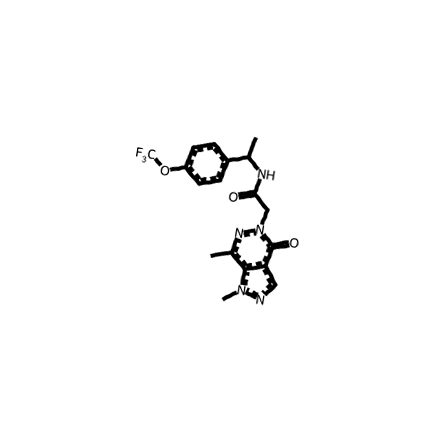 Cc1nn(CC(=O)NC(C)c2ccc(OC(F)(F)F)cc2)c(=O)c2cnn(C)c12